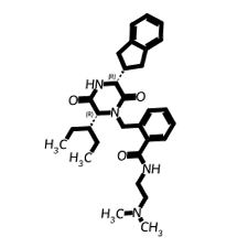 CCC(CC)[C@@H]1C(=O)N[C@H](C2Cc3ccccc3C2)C(=O)N1Cc1ccccc1C(=O)NCCN(C)C